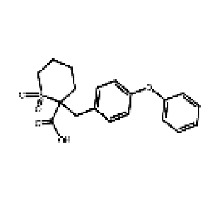 O=C(O)C1(Cc2ccc(Oc3ccccc3)cc2)CCCCS1(=O)=O